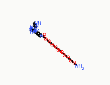 NCCOCCOCCOCCOCCOCCOCCOCCOCCOCCOCCC(=O)N1CCc2cc(Cn3nc(-c4cnc5[nH]ccc5c4)c4c(N)ncnc43)ccc2C1